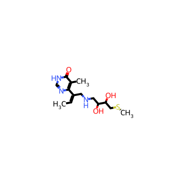 C/C=C(/CNCC(O)C(O)CSC)c1nc[nH]c(=O)c1C